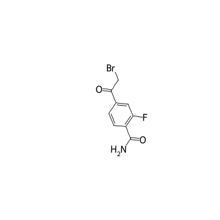 NC(=O)c1ccc(C(=O)CBr)cc1F